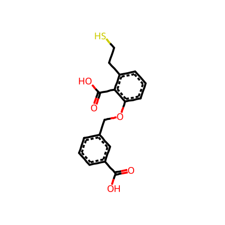 O=C(O)c1cccc(COc2cccc(CCS)c2C(=O)O)c1